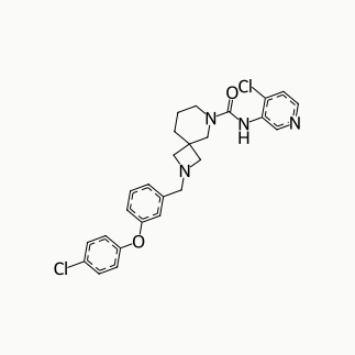 O=C(Nc1cnccc1Cl)N1CCCC2(CN(Cc3cccc(Oc4ccc(Cl)cc4)c3)C2)C1